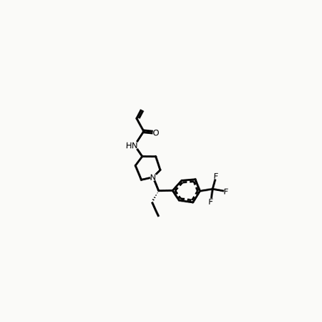 C=CC(=O)NC1CCN([C@@H](CC)c2ccc(C(F)(F)F)cc2)CC1